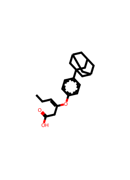 CCC=C(CC(=O)O)Oc1ccc(C23CC4CC(CC(C4)C2)C3)cc1